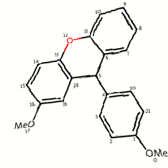 COc1ccc(C2c3ccccc3Oc3ccc(OC)cc32)cc1